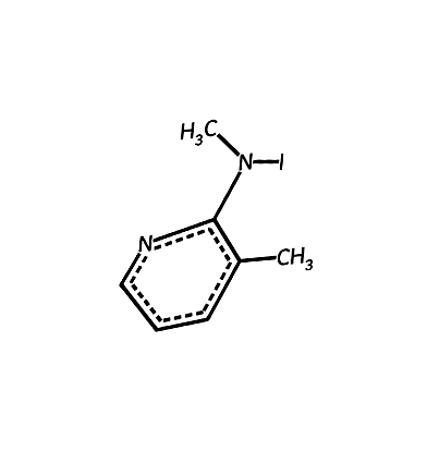 Cc1cccnc1N(C)I